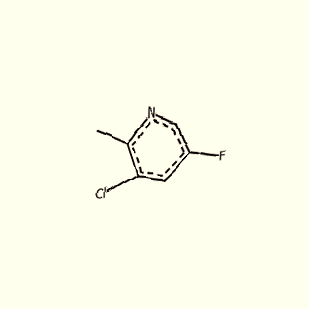 Cc1ncc(F)cc1Cl